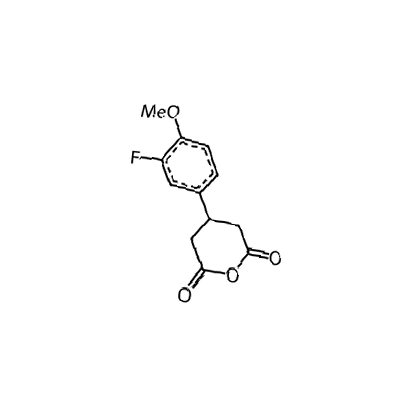 COc1ccc(C2CC(=O)OC(=O)C2)cc1F